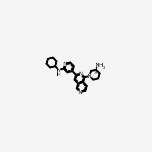 N[C@H]1CCCN(c2nc(-c3ccnc(NC4CCCCC4)c3)cc3cnccc23)C1